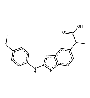 COc1ccc(Nc2nc3ccc(C(C)C(=O)O)cc3o2)cc1